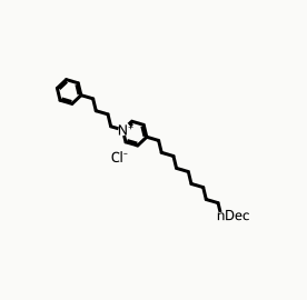 CCCCCCCCCCCCCCCCCCCc1cc[n+](CCCCc2ccccc2)cc1.[Cl-]